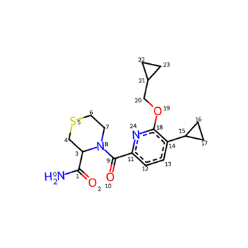 NC(=O)C1CSCCN1C(=O)c1ccc(C2CC2)c(OCC2CC2)n1